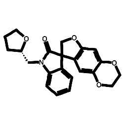 O=C1N(C[C@@H]2CCCO2)c2ccccc2C12COc1cc3c(cc12)OCCO3